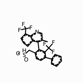 Cc1cnc2c(C(F)(F)F)cccc2c1-c1c(C[SH](=O)=O)ccc(-c2ccccc2)c1C(F)(F)F